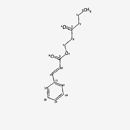 CCCC(=O)CCOC(=O)/C=C/c1ccccc1